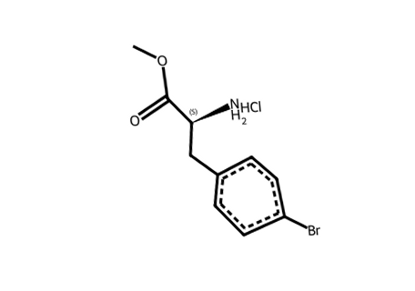 COC(=O)[C@@H](N)Cc1ccc(Br)cc1.Cl